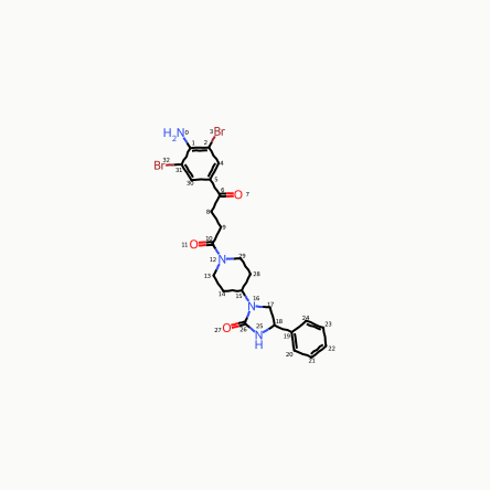 Nc1c(Br)cc(C(=O)CCC(=O)N2CCC(N3CC(c4ccccc4)NC3=O)CC2)cc1Br